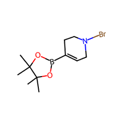 CC1(C)OB(C2=CCN(Br)CC2)OC1(C)C